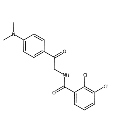 CN(C)c1ccc(C(=O)CNC(=O)c2cccc(Cl)c2Cl)cc1